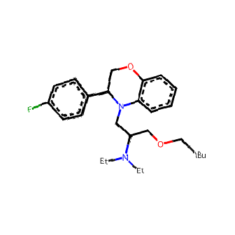 CCN(CC)C(COCC(C)(C)C)CN1c2ccccc2OCC1c1ccc(F)cc1